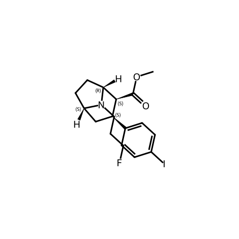 COC(=O)[C@H]1[C@@H](c2ccc(I)cc2)C[C@@H]2CC[C@H]1N2CCCF